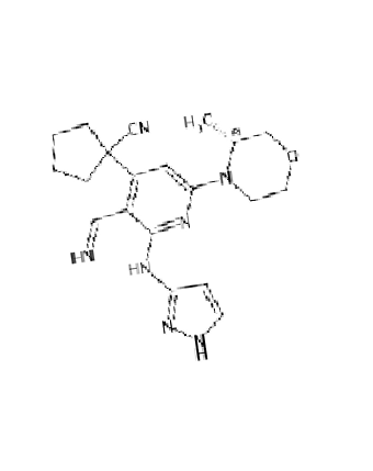 C[C@@H]1COCCN1c1cc(C2(C#N)CCCC2)c(C=N)c(Nc2cc[nH]n2)n1